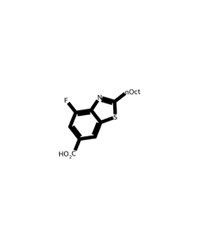 CCCCCCCCc1nc2c(F)cc(C(=O)O)cc2s1